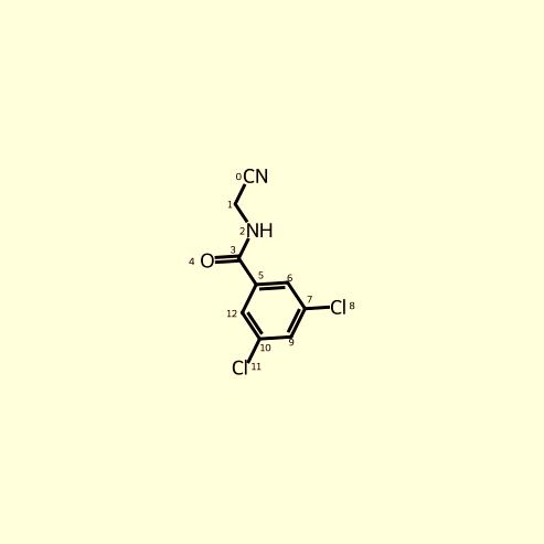 N#CCNC(=O)c1cc(Cl)cc(Cl)c1